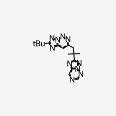 CC(C)(C)c1nc2cc(CC(C)(C)c3nc4cncnn4n3)nnn2n1